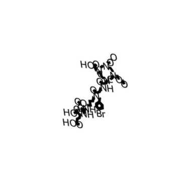 O=COCN1CCN(COC=O)CCN(CC(=O)NCCC(=O)N(CCCCC(NC(=O)NC(CCC(=O)O)C(=O)O)OC=O)Cc2ccc(Br)cc2)CCN(CC(=O)O)CC1